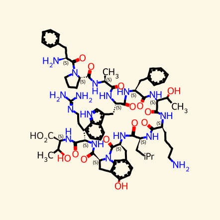 CC(C)C[C@H](NC(=O)[C@H](CCCCN)NC(=O)[C@@H](NC(=O)[C@H](Cc1ccccc1)NC(=O)[C@H](Cc1c[nH]c2ccccc12)NC(=O)[C@H](C)NC(=O)[C@@H]1CCCN1C(=O)[C@@H](N)Cc1ccccc1)C(C)O)C(=O)N[C@@H](Cc1ccc(O)cc1)C(=O)N1CCC[C@H]1C(=O)N[C@@H](CCCN=C(N)N)C(=O)N[C@H](C(=O)O)C(C)O